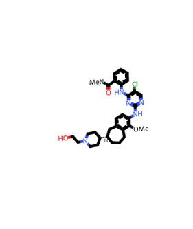 CNC(=O)c1ccccc1Nc1nc(Nc2ccc3c(c2OC)CCC[C@H](C2CCN(CCO)CC2)C3)ncc1Cl